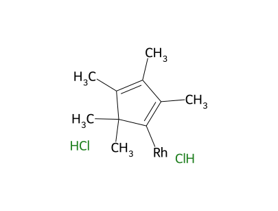 CC1=C(C)C(C)(C)[C]([Rh])=C1C.Cl.Cl